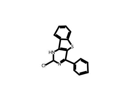 ClC1N=C(c2ccccc2)c2sc3ccccc3c2N1